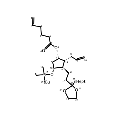 C=CCCCC(=O)O[C@H]1C[C@@H](O[Si](C)(C)C(C)(C)C)[C@H](CCC2(CCCCCCC)OCCO2)[C@H]1CC=C